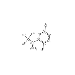 N[C@H](c1cc(Cl)ccc1F)C(F)(F)F